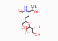 C[C@@H](O)[C@H](CC[C@H](CO)OC(CO)[C@H](O)CO)NC=O